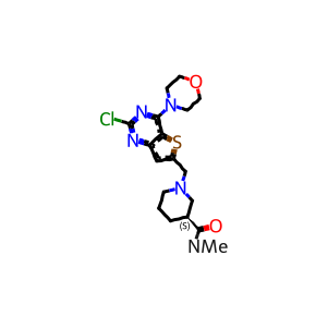 CNC(=O)[C@H]1CCCN(Cc2cc3nc(Cl)nc(N4CCOCC4)c3s2)C1